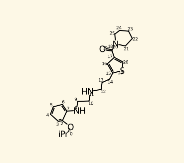 CC(C)Oc1ccccc1NCCNCCCc1cc(C(=O)N2CCCCC2)cs1